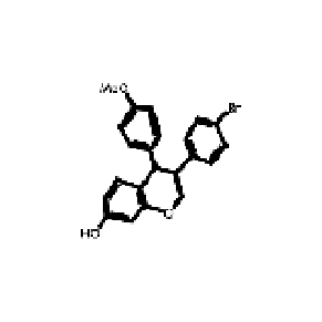 COc1ccc(C2c3ccc(O)cc3OCC2c2ccc(Br)cc2)cc1